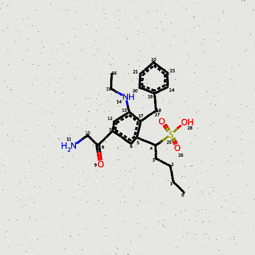 CCCCC(c1cc(C(=O)CN)cc(NCC)c1Cc1ccccc1)S(=O)(=O)O